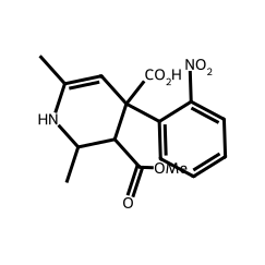 COC(=O)C1C(C)NC(C)=CC1(C(=O)O)c1ccccc1[N+](=O)[O-]